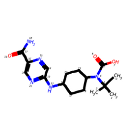 CC(C)(C)N(C(=O)O)C1CCC(Nc2cnc(C(N)=O)cn2)CC1